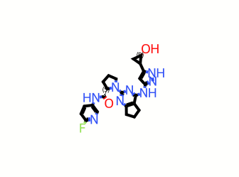 O=C(Nc1ccc(F)nc1)[C@@H]1CCCN1c1nc2c(c(Nc3cc(C4C[C@H]4O)[nH]n3)n1)CCC2